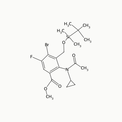 COC(=O)c1cc(F)c(Br)c(CO[Si](C)(C)C(C)(C)C)c1N(C(C)=O)C1CC1